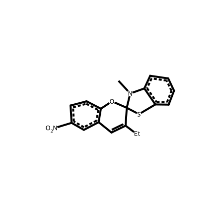 CCC1=Cc2cc([N+](=O)[O-])ccc2OC12Sc1ccccc1N2C